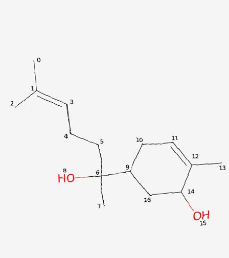 CC(C)=CCCC(C)(O)C1CC=C(C)C(O)C1